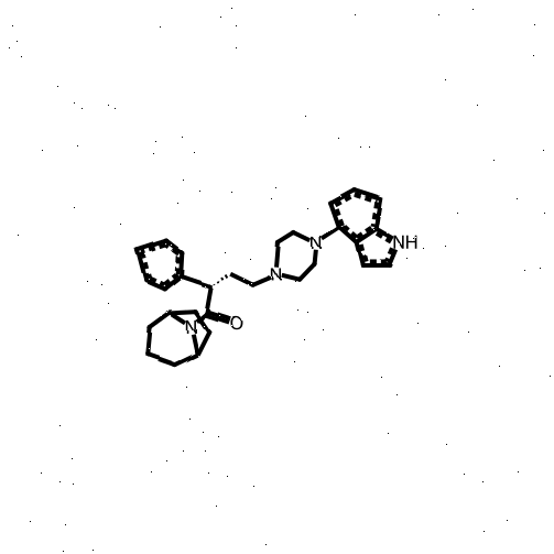 O=C([C@@H](CCN1CCN(c2cccc3[nH]ccc23)CC1)c1ccccc1)N1C2CCCC1CC2